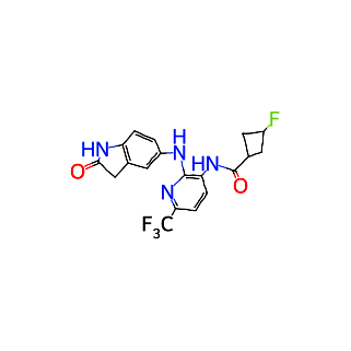 O=C1Cc2cc(Nc3nc(C(F)(F)F)ccc3NC(=O)C3CC(F)C3)ccc2N1